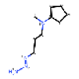 CN(CCCN=NN)C1CCCC1